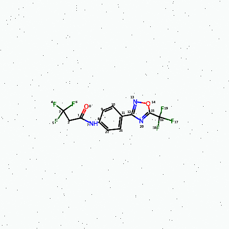 O=C(CC(F)(F)F)Nc1ccc(-c2noc(C(F)(F)F)n2)cc1